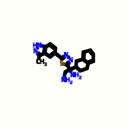 Cc1n[nH]c2ccc(-c3nnc(C(N)(CN)C4CCc5ccccc5C4)s3)cc12